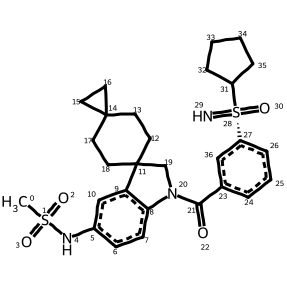 CS(=O)(=O)Nc1ccc2c(c1)C1(CCC3(CC3)CC1)CN2C(=O)c1cccc([S@@](=N)(=O)C2CCCC2)c1